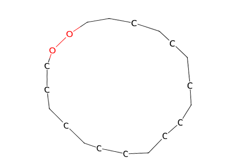 C1CCCCCCCCCOOCCCCCCCC1